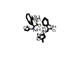 Cc1cc(N/C=C2/C(=O)Nc3ccccc32)no1.N/C(=C1\C(=O)Nc2ccccc21)c1ccon1